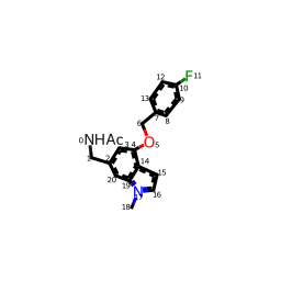 CC(=O)NCc1cc(OCc2ccc(F)cc2)c2ccn(C)c2c1